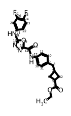 CCOC(=O)C1CC(Cc2ccc(NC(=O)c3nnc(Nc4ccc(F)c(F)c4)o3)cc2)C1